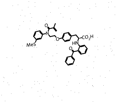 C=C(C)C(=O)N(CCOc1ccc(C[C@H](Nc2ccccc2C(=O)c2ccccc2)C(=O)O)cc1)c1cccc(SC)c1